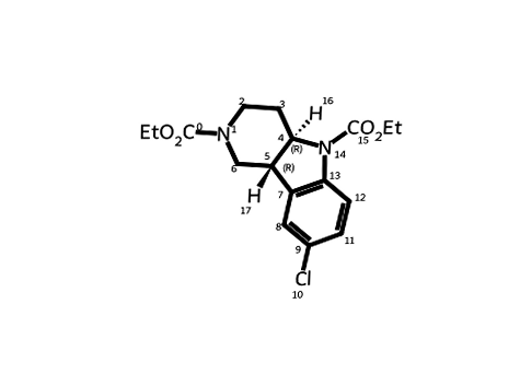 CCOC(=O)N1CC[C@@H]2[C@@H](C1)c1cc(Cl)ccc1N2C(=O)OCC